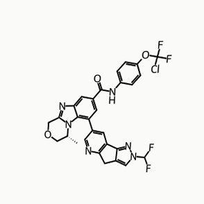 C[C@@H]1COCc2nc3cc(C(=O)Nc4ccc(OC(F)(F)Cl)cc4)cc(-c4cnc5c(c4)-c4nn(C(F)F)cc4C5)c3n21